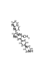 Cc1nn2c(-c3ccc4cccnc4n3)cnc2cc1-c1ccc(N2CCNCC2)cc1